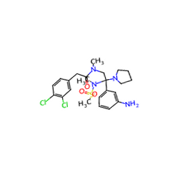 CN(CC(c1cccc(N)c1)(N1CCCC1)N(C)S(C)(=O)=O)C(=O)Cc1ccc(Cl)c(Cl)c1